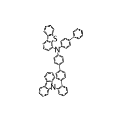 c1ccc(-c2ccc(N(c3ccc(-c4ccc(-c5ccccc5-n5c6ccccc6c6ccccc65)cc4)cc3)c3cccc4c3sc3ccccc34)cc2)cc1